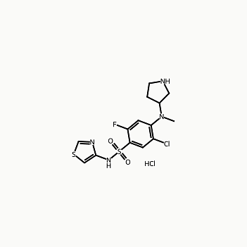 CN(c1cc(F)c(S(=O)(=O)Nc2cscn2)cc1Cl)C1CCNC1.Cl